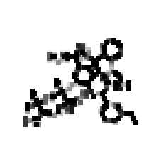 CCc1cccc([C@H](Nc2ccc(C(=N)N)cc2)c2nc(-c3ccccc3C(N)=O)c[nH]2)c1.O=C(O)C(F)(F)F.O=C(O)C(F)(F)F